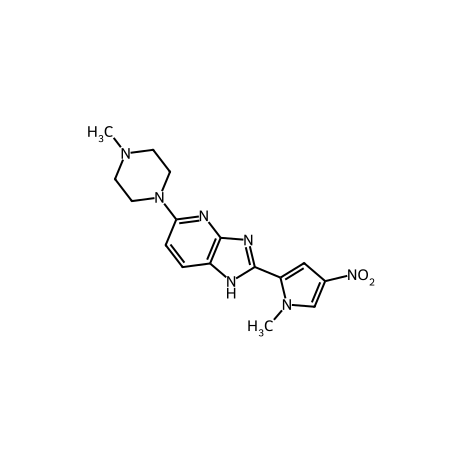 CN1CCN(c2ccc3[nH]c(-c4cc([N+](=O)[O-])cn4C)nc3n2)CC1